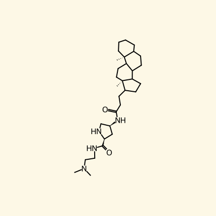 CN(C)CCNC(=O)[C@@H]1C[C@H](NC(=O)CCC2CCC3C4CCC5CCCC[C@]5(C)C4CC[C@]23C)CN1